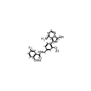 CCOc1cc(CNC(=O)c2cc(F)ccc2OC)ccc1-c1nc(C(C)C)n2ncnc(N)c12